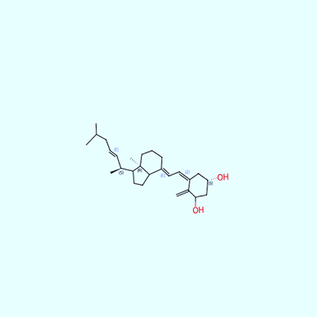 C=C1/C(=C\C=C2/CCC[C@@]3(C)C2CCC3[C@@H](C)/C=C/CC(C)C)C[C@H](O)CC1O